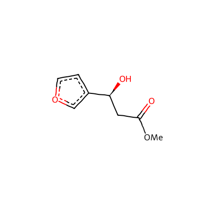 COC(=O)C[C@H](O)c1ccoc1